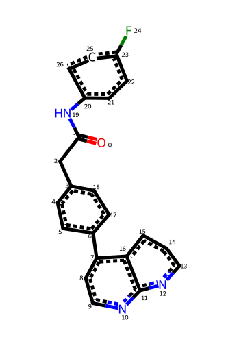 O=C(Cc1ccc(-c2ccnc3ncccc23)cc1)Nc1ccc(F)cc1